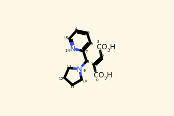 O=C(O)C=CC(=O)O.c1ccc(CN2CCCC2)nc1